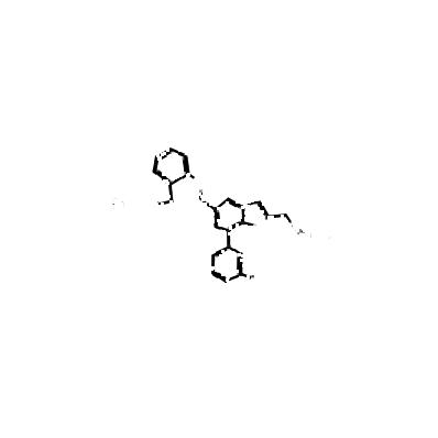 CCCCNCc1cc2cc(COc3ccccc3CC(=O)OCC)cc(-c3cccc(CC)c3)c2o1